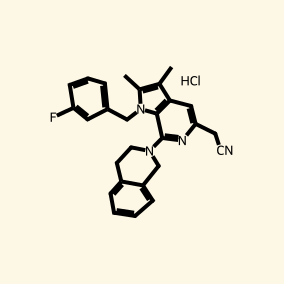 Cc1c(C)n(Cc2cccc(F)c2)c2c(N3CCc4ccccc4C3)nc(CC#N)cc12.Cl